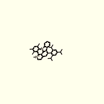 Cc1cc(C)c2c(c1C)c1c3c(cc[n+]1C)cc(-c1c(C(C)C)cc(C(C)C)cc1C(C)C)c1c4ccccc4n2c13